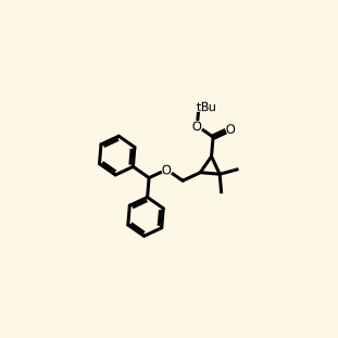 CC(C)(C)OC(=O)C1C(COC(c2ccccc2)c2ccccc2)C1(C)C